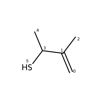 C=C(C)C(C)S